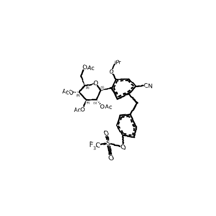 CC(=O)OC[C@H]1O[C@@H](c2cc(Cc3ccc(OS(=O)(=O)C(F)(F)F)cc3)c(C#N)cc2OC(C)C)[C@H](OC(C)=O)[C@@H](OC(C)=O)[C@@H]1OC(C)=O